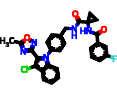 Cc1nc(-c2c(Cl)c3ccccc3n2-c2ccc(CNC(=O)C3(NC(=O)c4cccc(F)c4)CC3)cc2)no1